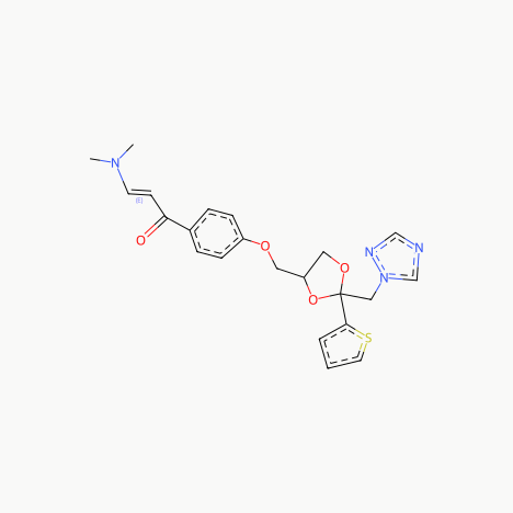 CN(C)/C=C/C(=O)c1ccc(OCC2COC(Cn3cncn3)(c3cccs3)O2)cc1